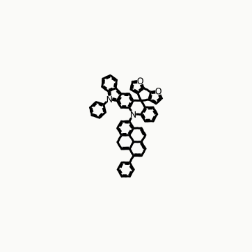 C1=Cc2c(N3c4ccccc4C4(c5cc6c7ccccc7n(-c7ccccc7)c6cc53)c3ccoc3-c3occc34)ccc3c2C2C1=CC=C(c1ccccc1)C2=CC3